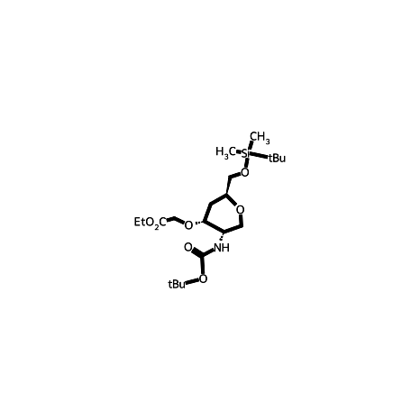 CCOC(=O)CO[C@@H]1C[C@@H](CO[Si](C)(C)C(C)(C)C)OC[C@@H]1NC(=O)OC(C)(C)C